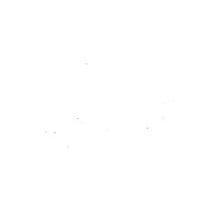 O=S(=O)(c1ccccc1)c1ccc(Cn2c3cc(O)c(O)cc3c3ccc(O)c(O)c32)cc1